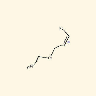 CC/C=C\COCCCC